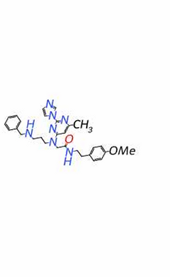 COc1ccc(CCNC(=O)CN(CCCNCc2ccccc2)c2cc(C)nc(-n3ccnc3)n2)cc1